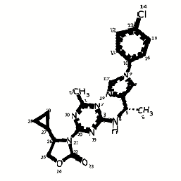 Cc1nc(N[C@@H](C)c2cn(-c3ccc(Cl)cc3)cn2)nc(N2C(=O)OCC2C2CC2)n1